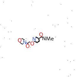 CNC(=O)c1ccc(OCC(=O)N2CCOCC2)nc1